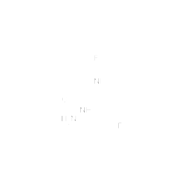 NNC(=O)c1c(-c2ccc(F)cc2)[nH]c2c(F)cccc12